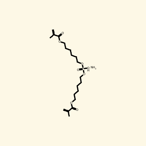 C=C(C)C(=O)OCCCCCCOP(=O)(O)OCCCCCCOC(=O)C(=C)C.N